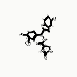 O=C1NCC(C(=O)N[C@@H](c2ccc(F)c(Cl)c2)c2cc3cc(Cl)ccc3o2)N1